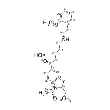 CCC1Cc2cc(C(=O)CCCCNCCc3ccccc3OC)ccc2N1C(N)=O.Cl